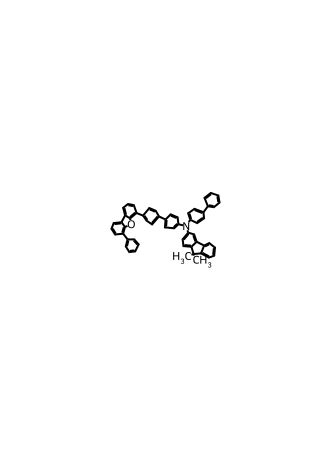 CC1(C)c2ccccc2-c2cc(N(c3ccc(-c4ccccc4)cc3)c3ccc(-c4ccc(-c5cccc6c5oc5c(-c7ccccc7)cccc56)cc4)cc3)ccc21